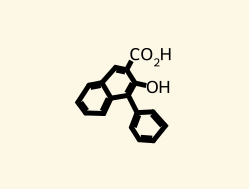 O=C(O)c1cc2ccccc2c(-c2ccccc2)c1O